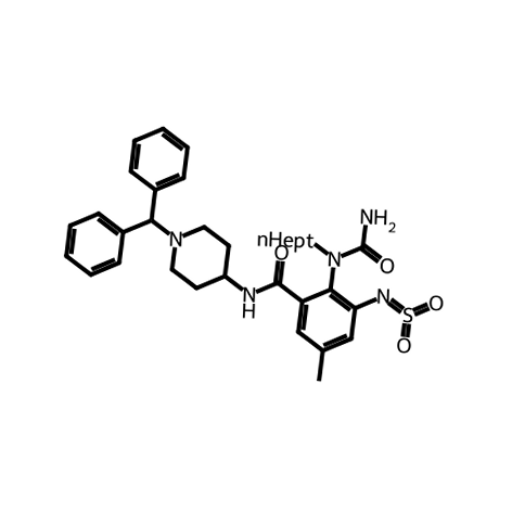 CCCCCCCN(C(N)=O)c1c(N=S(=O)=O)cc(C)cc1C(=O)NC1CCN(C(c2ccccc2)c2ccccc2)CC1